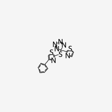 c1ccc(-c2csc(SC3(c4nccs4)N=NN=N3)n2)cc1